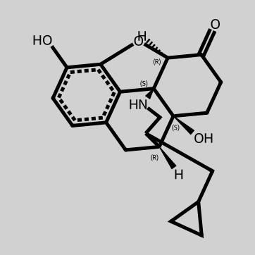 O=C1CC[C@]2(O)[C@@H]3Cc4ccc(O)c5c4[C@]2(NCC3CC2CC2)[C@H]1O5